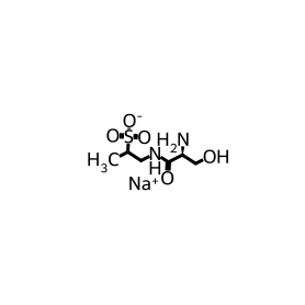 CC(CNC(=O)[C@@H](N)CO)S(=O)(=O)[O-].[Na+]